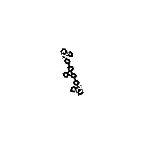 O=P(c1ccc(-c2ccc3c4ccc(-c5ccc(P(=O)(c6ccccn6)c6ccccn6)cc5)cc4c4ccccc4c3c2)cc1)(c1ccccn1)c1ccccn1